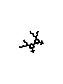 CCCCC(CCC)c1cc(-c2[c]c(C(C)(C)C)cc(C(CCC)CCCC)c2)[c]c(C(C)(C)C)c1